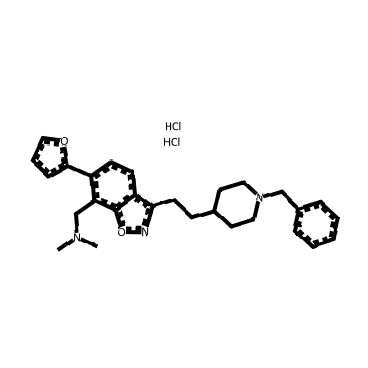 CN(C)Cc1c(-c2ccco2)ccc2c(CCC3CCN(Cc4ccccc4)CC3)noc12.Cl.Cl